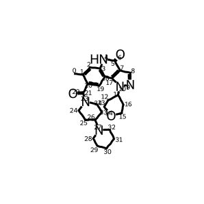 Cc1cc2[nH]c(=O)c3cnn(C4CCOCC4)c3c2cc1C(=O)N1CCC(N2CCCCC2)CC1